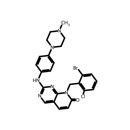 CN1CCN(c2ccc(Nc3ncc4ccc(=O)n(Cc5c(Cl)cccc5Br)c4n3)cc2)CC1